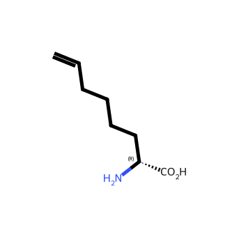 C=CCCCC[C@@H](N)C(=O)O